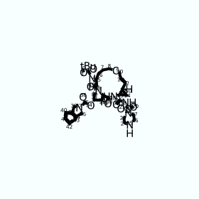 CC(C)(C)OC(=O)N[C@H]1CCCCC/C=C/[C@@H]2C[C@@]2(C(=O)NS(=O)(=O)N2CCNCC2)NC(=O)[C@@H]2C[C@@H](OC(=O)N3Cc4ccccc4C3)CN2C1=O